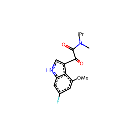 COc1cc(F)cc2[nH]cc(C(=O)C(=O)N(C)C(C)C)c12